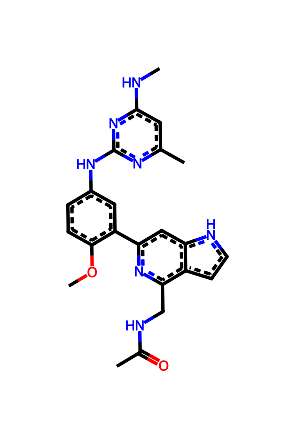 CNc1cc(C)nc(Nc2ccc(OC)c(-c3cc4[nH]ccc4c(CNC(C)=O)n3)c2)n1